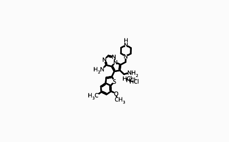 COc1cc(C)cc2cc(-c3c(CN)c(CN4CCNCC4)n4ncnc(N)c34)sc12.Cl.Cl.Cl